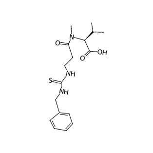 CC(C)[C@@H](C(=O)O)N(C)C(=O)CCNC(=S)NCc1ccccc1